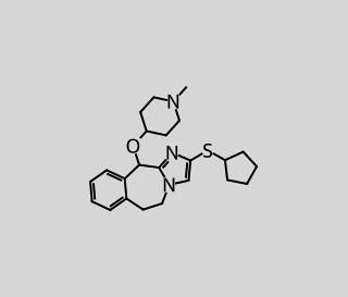 CN1CCC(OC2c3ccccc3CCn3cc(SC4CCCC4)nc32)CC1